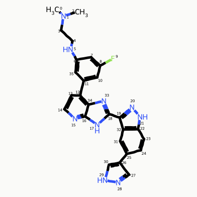 CN(C)CCNc1cc(F)cc(-c2ccnc3[nH]c(-c4n[nH]c5ccc(-c6cn[nH]c6)cc45)nc23)c1